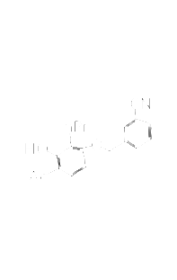 CCCc1c(OCc2cccc(C#N)c2)ccc(C(C)=O)c1O